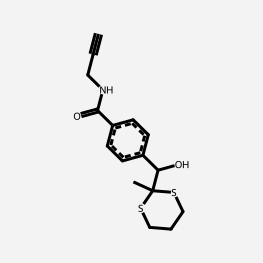 C#CCNC(=O)c1ccc(C(O)C2(C)SCCCS2)cc1